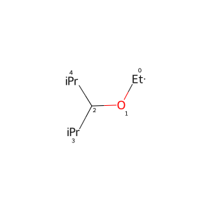 C[CH]OC(C(C)C)C(C)C